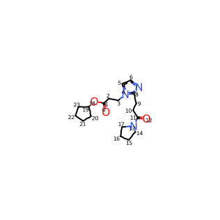 O=C(CCn1ccnc1CCC(=O)N1CCCC1)OC1CCCC1